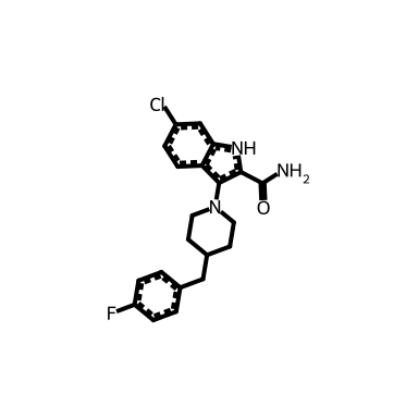 NC(=O)c1[nH]c2cc(Cl)ccc2c1N1CCC(Cc2ccc(F)cc2)CC1